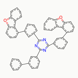 c1ccc(-c2cccc(-c3nc(-c4cccc(-c5cccc6oc7ccccc7c56)c4)nc(-c4cccc(-c5cccc6oc7ccccc7c56)c4)n3)c2)cc1